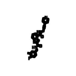 Cc1cc(CNC(=O)c2cn3c(C(=O)NCC#Cc4ccncc4)cccc3n2)ccc1F